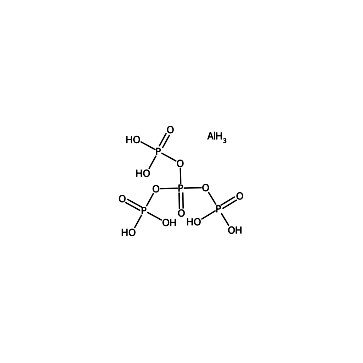 O=P(O)(O)OP(=O)(OP(=O)(O)O)OP(=O)(O)O.[AlH3]